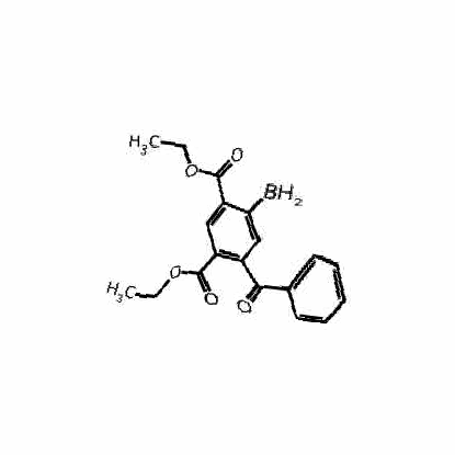 Bc1cc(C(=O)c2ccccc2)c(C(=O)OCC)cc1C(=O)OCC